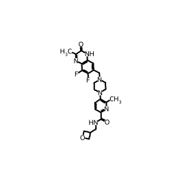 Cc1nc(C(=O)NCC2COC2)ccc1N1CCN(Cc2cc3[nH]c(=O)c(C)nc3c(F)c2F)CC1